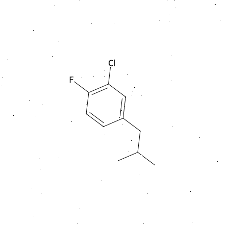 CC(C)Cc1ccc(F)c(Cl)c1